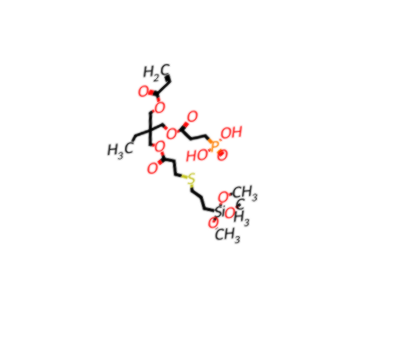 C=CC(=O)OCC(CC)(COC(=O)CCSCCC[Si](OC)(OC)OC)COC(=O)CCP(=O)(O)O